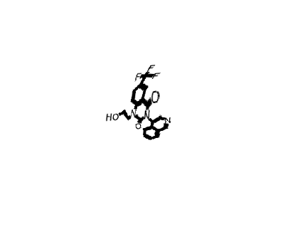 O=c1c2cc(C(F)(F)F)ccc2n(CCO)c(=O)n1-c1cncc2ccccc12